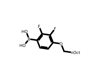 CCCCCCCCCOc1ccc(B(O)O)c(F)c1F